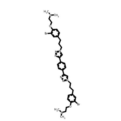 CN(C)CCOc1ccc(CCCn2cc(-c3ccc(-c4cn(CCCc5ccc(OCCN(C)C)c(Br)c5)nn4)cc3)nn2)cc1Br